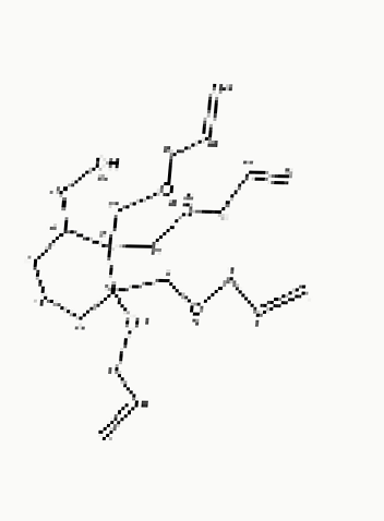 C=CCOCC1(OCC=C)CCCC(CO)C1(COCC=C)COCC=C